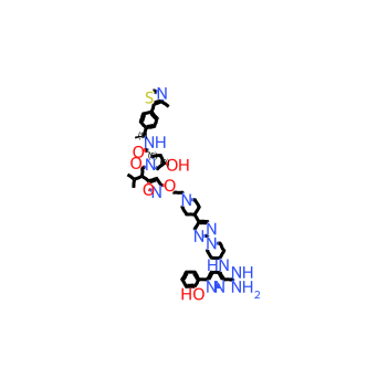 Cc1ncsc1-c1ccc([C@H](C)NC(=O)[C@@H]2C[C@@H](O)CN2C(=O)C(c2cc(OCCN3CCC(c4cnc(N5CCC(Nc6cc(-c7ccccc7O)nnc6C(=N)N)CC5)nc4)CC3)no2)C(C)C)cc1